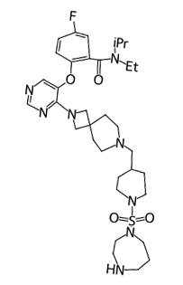 CCN(C(=O)c1cc(F)ccc1Oc1cncnc1N1CC2(CCN(CC3CCN(S(=O)(=O)N4CCCNCC4)CC3)CC2)C1)C(C)C